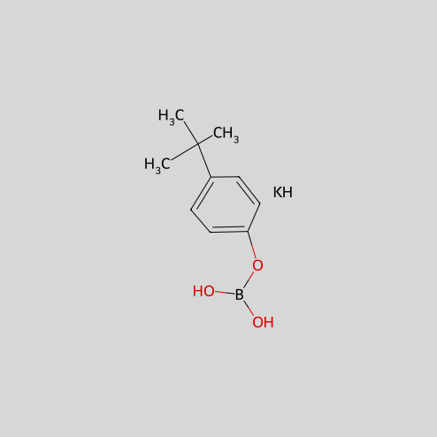 CC(C)(C)c1ccc(OB(O)O)cc1.[KH]